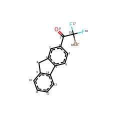 O=C(c1ccc2c(c1)Cc1ccccc1-2)C(F)(F)Br